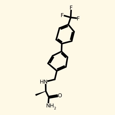 C[C@@H](NCc1ccc(-c2ccc(C(F)(F)F)cc2)cc1)C(N)=O